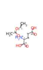 C=COC(C)=O.NC(CCC(=O)O)C(=O)O